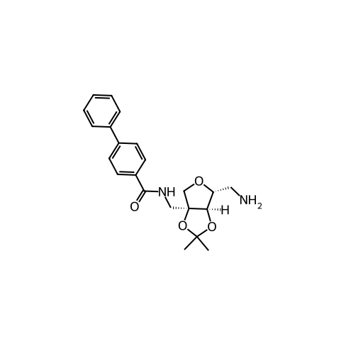 CC1(C)O[C@@H]2[C@@H](CN)OC[C@]2(CNC(=O)c2ccc(-c3ccccc3)cc2)O1